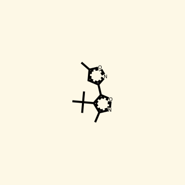 Cc1cc(-c2onc(C)c2C(C)(C)C)no1